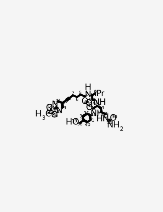 CC(C)C(NC(=O)CCCC#Cc1cnc(S(C)(=O)=O)nc1)C(=O)NC(CCCNC(N)=O)C(=O)Nc1ccc(CO)cc1